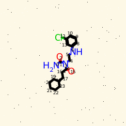 NC(=O)N(CCNc1cccc(Cl)c1)C(=O)[CH]CC1CCCCC1